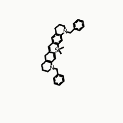 C[Si]1(C)C2=CC3=C(CCCN3Cc3ccccc3)CC2=Cc2cc3c(cc21)N(Cc1ccccc1)CCC3